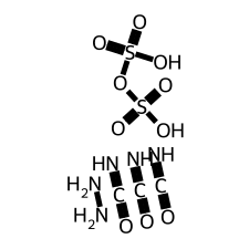 N=C=O.N=C=O.N=C=O.NN.O=S(=O)(O)OS(=O)(=O)O